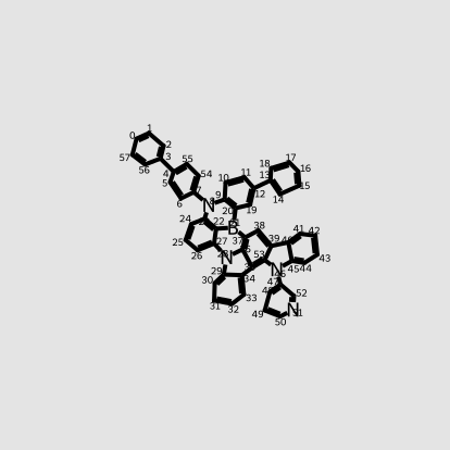 c1ccc(-c2ccc(N3c4ccc(-c5ccccc5)cc4B4c5c3cccc5-n3c5ccccc5c5c3c4cc3c4ccccc4n(-c4cccnc4)c35)cc2)cc1